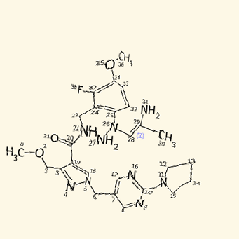 COCc1nn(Cc2cnc(N3CCCC3)nc2)cc1C(=O)NCc1c(N(N)/C=C(/C)N)ccc(OC)c1F